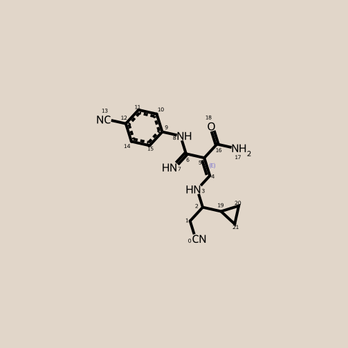 N#CCC(N/C=C(\C(=N)Nc1ccc(C#N)cc1)C(N)=O)C1CC1